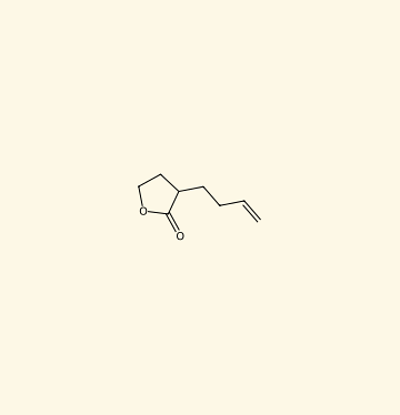 C=CCCC1CCOC1=O